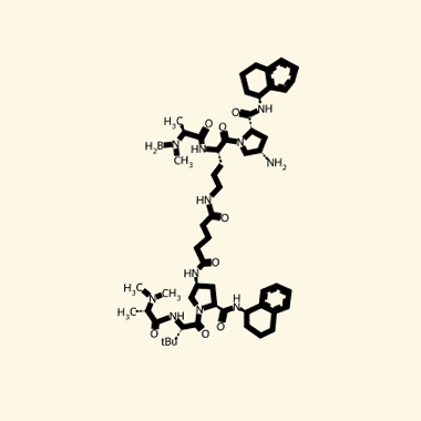 BN(C)[C@@H](C)C(=O)N[C@@H](CCCNC(=O)CCCC(=O)N[C@H]1C[C@@H](C(=O)N[C@@H]2CCCc3ccccc32)N(C(=O)[C@@H](NC(=O)[C@H](C)N(C)C)C(C)(C)C)C1)C(=O)N1C[C@@H](N)C[C@H]1C(=O)N[C@@H]1CCCc2ccccc21